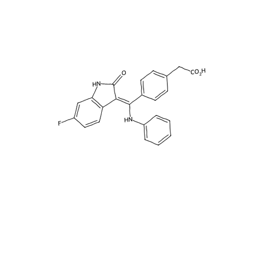 O=C(O)Cc1ccc(C(Nc2ccccc2)=C2C(=O)Nc3cc(F)ccc32)cc1